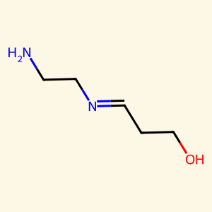 NCCN=CCCO